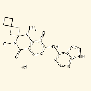 CN1n2c(ccc(Nc3ncnc4[nH]ccc34)c2=O)C(=O)N(Cl)C12CC1(CCC1)C2.Cl